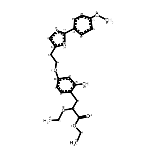 CCOC(=O)C(Cc1ccc(OCCc2csc(-c3ccc(OC)cc3)n2)cc1C)OCC